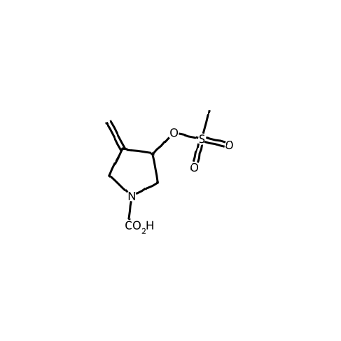 C=C1CN(C(=O)O)CC1OS(C)(=O)=O